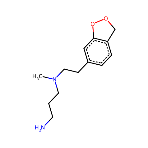 CN(CCCN)CCc1ccc2c(c1)OOC2